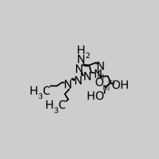 CCCCN(C=Nc1nc(N)c2cnn([C@@H]3C[C@H](O)[C@@H](CO)O3)c2n1)CCCC